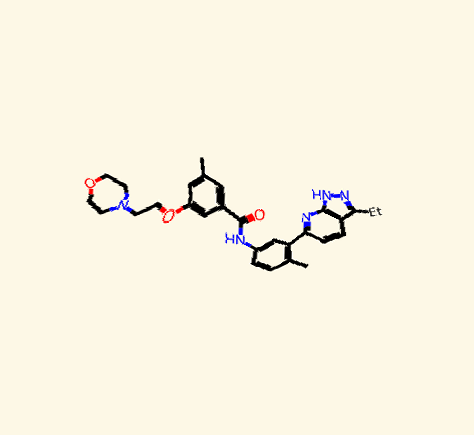 CCc1n[nH]c2nc(-c3cc(NC(=O)c4cc(C)cc(OCCN5CCOCC5)c4)ccc3C)ccc12